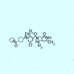 CCN(c1cc(Cl)cc(C(=O)NCc2c(C)cc(C)[nH]c2=O)c1C)C1CCC(C(=O)N2CCCC2)CC1